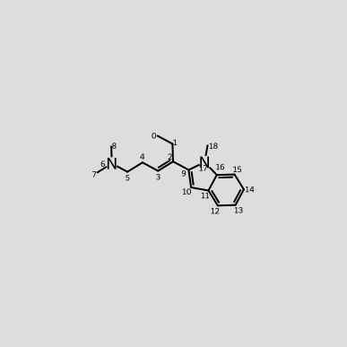 CCC(=CCCN(C)C)c1cc2ccccc2n1C